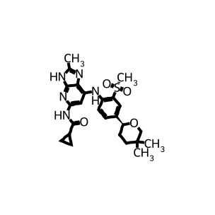 Cc1nc2c(Nc3ccc([C@@H]4CCC(C)(C)CO4)cc3S(C)(=O)=O)cc(NC(=O)C3CC3)nc2[nH]1